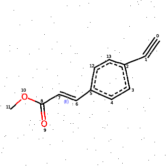 C#Cc1ccc(/C=C/C(=O)OC)cc1